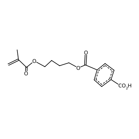 C=C(C)C(=O)OCCCCOC(=O)c1ccc(C(=O)O)cc1